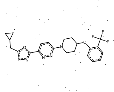 FC(F)(F)c1ccccc1OC1CCN(c2ccc(-c3nnc(CC4CC4)o3)nn2)CC1